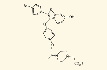 CC(COc1ccc(Oc2c(-c3ccc(Br)cc3)sc3cc(O)ccc23)cc1)N1CCN(CC(=O)O)CC1